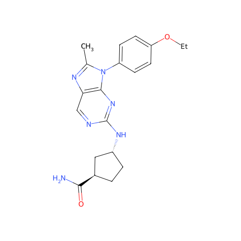 CCOc1ccc(-n2c(C)nc3cnc(N[C@@H]4CC[C@@H](C(N)=O)C4)nc32)cc1